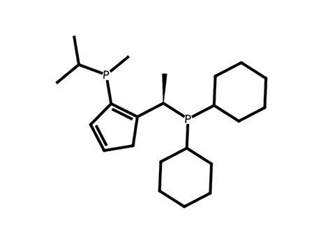 CC(C)P(C)C1=C([C@@H](C)P(C2CCCCC2)C2CCCCC2)CC=C1